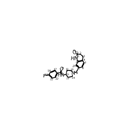 O=C1CCc2ccc(CN3CCC(NC(=O)c4ccc(F)cc4)CC3)cc2N1